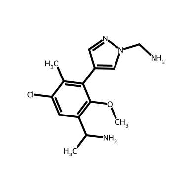 COc1c(C(C)N)cc(Cl)c(C)c1-c1cnn(CN)c1